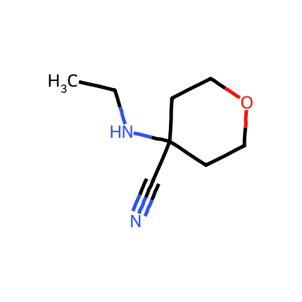 CCNC1(C#N)CCOCC1